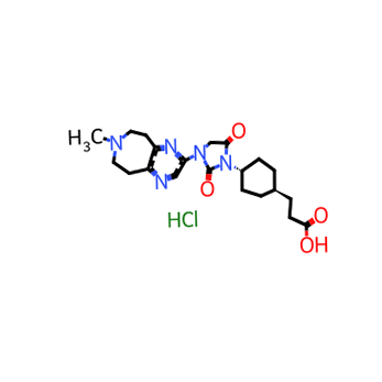 CN1CCc2ncc(N3CC(=O)N([C@H]4CC[C@H](CCC(=O)O)CC4)C3=O)nc2CC1.Cl